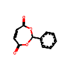 O=C1C=CC(=O)OC(c2ccccc2)O1